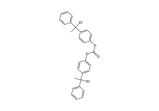 CCC(C)(c1ccccc1)c1ccc(OC(=O)Oc2ccc(C(C)(CC)c3ccccc3)cc2)cc1